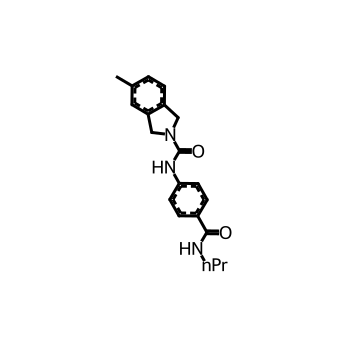 CCCNC(=O)c1ccc(NC(=O)N2Cc3ccc(C)cc3C2)cc1